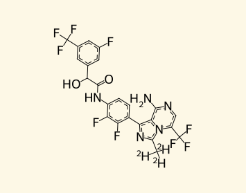 [2H]C([2H])([2H])c1nc(-c2ccc(NC(=O)C(O)c3cc(F)cc(C(F)(F)F)c3)c(F)c2F)c2c(N)ncc(C(F)(F)F)n12